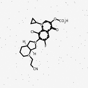 N#CCCN1CCC[C@H]2CN(c3c(F)cc4c(=O)c(OC(=O)O)cn(C5CC5)c4c3Cl)C[C@H]21